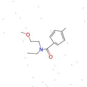 CCN(CCOC)C(=O)c1ccc(C)cc1